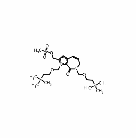 C[Si](C)(C)CCOCN1CC=Cc2cc(COS(C)(=O)=O)n(COCC[Si](C)(C)C)c2C1=O